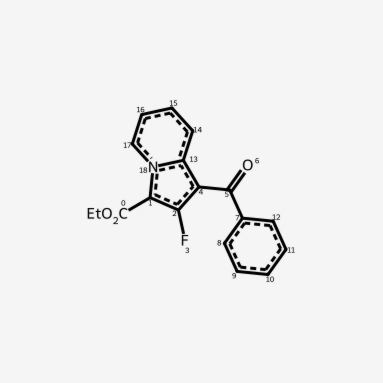 CCOC(=O)c1c(F)c(C(=O)c2ccccc2)c2ccccn12